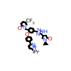 CC(C)c1ccc(-c2ccc(Oc3cc(-c4n[nH]c(C5CC(=O)N(C6CC6)C5)n4)ccc3Cn3cc(C(F)(F)F)ccc3=O)cc2)nn1